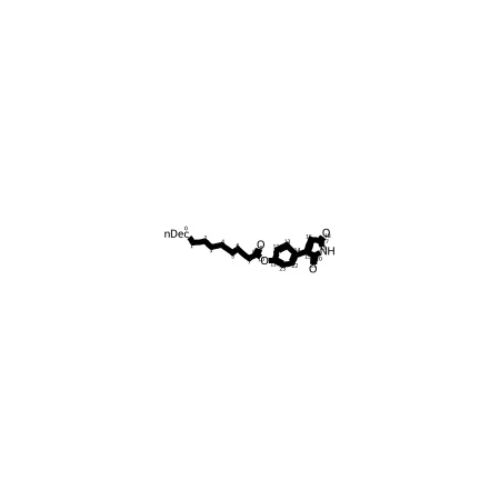 CCCCCCCCCCCCCCCCCC(=O)Oc1ccc(C2=CC(=O)NC2=O)cc1